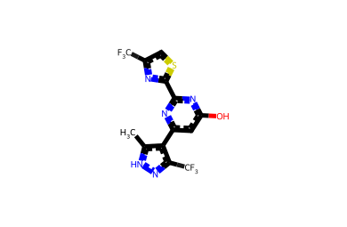 Cc1[nH]nc(C(F)(F)F)c1-c1cc(O)nc(-c2nc(C(F)(F)F)cs2)n1